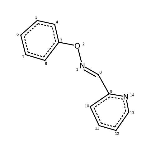 C(=NOc1ccccc1)c1ccccn1